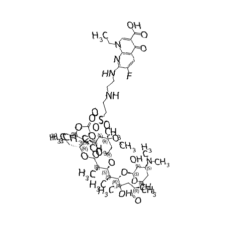 CC[C@@H](OC(=O)[C@H](C)[C@@H](O[C@H]1C[C@@](C)(OC)[C@@H](OS(=O)(=O)CCNCCNc2nc3c(cc2F)c(=O)c(C(=O)O)cn3CC)[C@H](C)O1)[C@H](C)[C@@H](O[C@@H]1O[C@H](C)C[C@H](N(C)C)[C@H]1O)[C@](C)(O)C[C@@H](C)C=O)[C@@]1(C)OC(=O)O[C@@H]1C